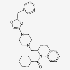 O=C(C1CCCCC1)N1c2ccccc2CCC1CN1CCN(C2=COC(Cc3ccccc3)O2)CC1